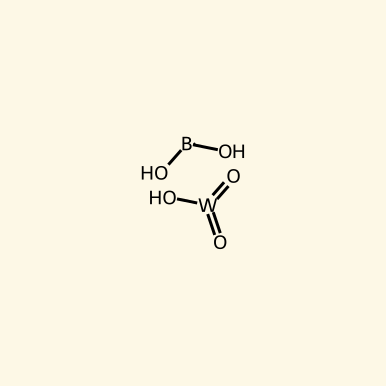 O[B]O.[O]=[W](=[O])[OH]